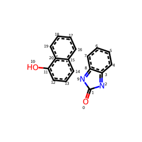 O=C1N=c2ccccc2=N1.Oc1cccc2ccccc12